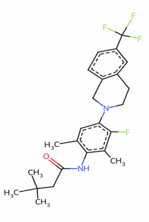 Cc1cc(N2CCc3cc(C(F)(F)F)ccc3C2)c(F)c(C)c1NC(=O)CC(C)(C)C